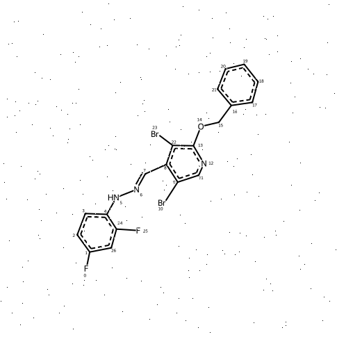 Fc1ccc(NN=Cc2c(Br)cnc(OCc3ccccc3)c2Br)c(F)c1